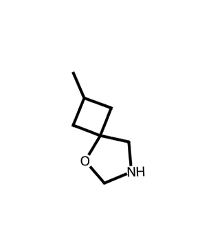 CC1CC2(CNCO2)C1